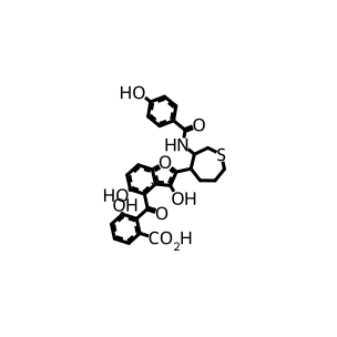 O=C(NC1CSCCCC1c1oc2ccc(O)c(C(=O)c3c(O)cccc3C(=O)O)c2c1O)c1ccc(O)cc1